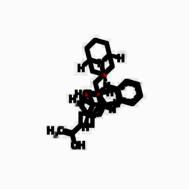 C=C(O)C1CN(c2nc3ccccc3n([C@H]3C[C@H]4CCC[C@@H](C3)N4CC[C@@H]3CC[C@H]4C[C@@H]3C4(C)C)c2=O)C1